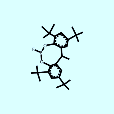 CC1c2cc(C(C)(C)C)cc(C(C)(C)C)c2OP(F)Oc2c1cc(C(C)(C)C)cc2C(C)(C)C